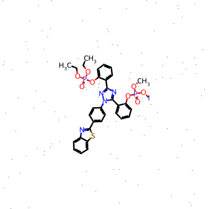 CCOP(=O)(OCC)Oc1ccccc1-c1nc(-c2ccccc2OP(=O)(OC)OI)n(-c2ccc(-c3nc4ccccc4s3)cc2)n1